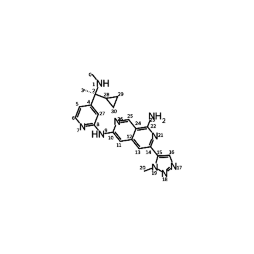 CN[C@](C)(c1ccnc(Nc2cc3cc(-c4cnnn4C)nc(N)c3cn2)c1)C1CC1